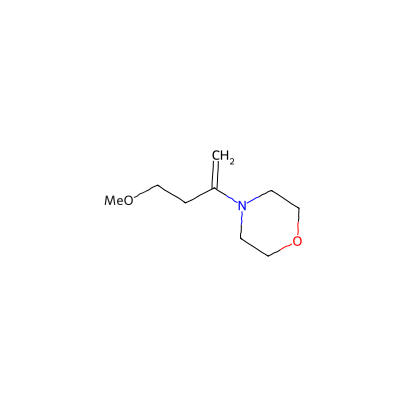 C=C(CCOC)N1CCOCC1